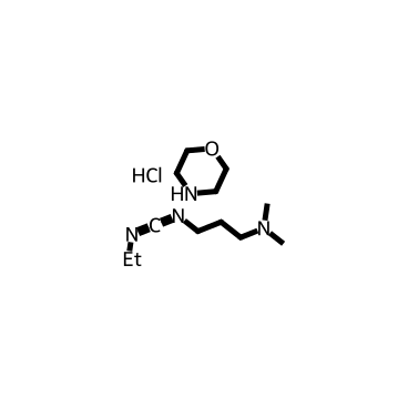 C1COCCN1.CCN=C=NCCCN(C)C.Cl